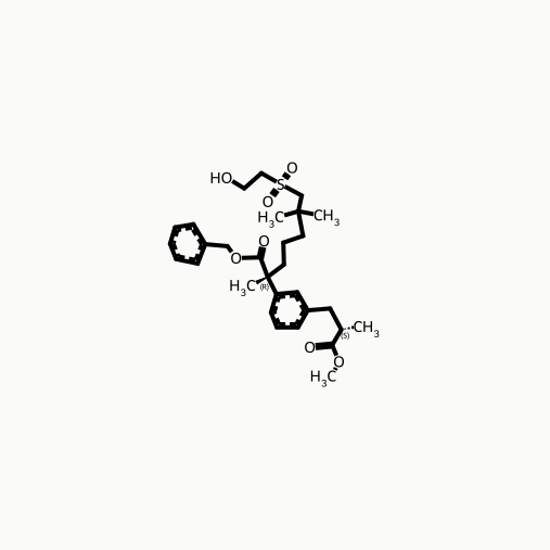 COC(=O)[C@@H](C)Cc1cccc([C@@](C)(CCCC(C)(C)CS(=O)(=O)CCO)C(=O)OCc2ccccc2)c1